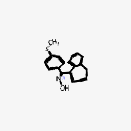 CSc1ccc(/C(=N/O)C2=CC=CCc3ccccc32)cc1